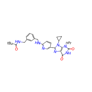 CCCn1c(=O)[nH]c(=O)c2nc(-c3ccc(NCc4cccc(CNC(=O)C(C)(C)C)c4)nc3)n(C3CC3)c21